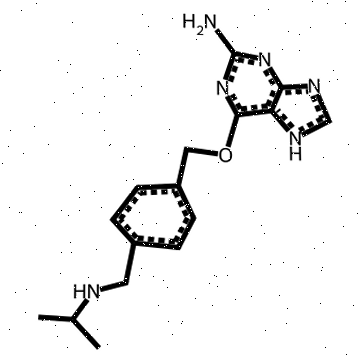 CC(C)NCc1ccc(COc2nc(N)nc3nc[nH]c23)cc1